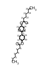 CCCCCCCC(=O)Oc1ccc(-c2ncc(OC(=O)CCCCCC)cn2)cc1